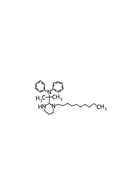 CCCCCCCCCCN1CCCNC1C(C)(C)N(c1ccccc1)c1ccccc1